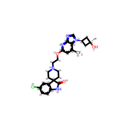 C[C@]1(O)C[C@@H](n2cnc3nc(OCCN4CCC5(CC4)C(=O)Nc4ccc(Cl)cc45)cc(C(F)(F)F)c32)C1